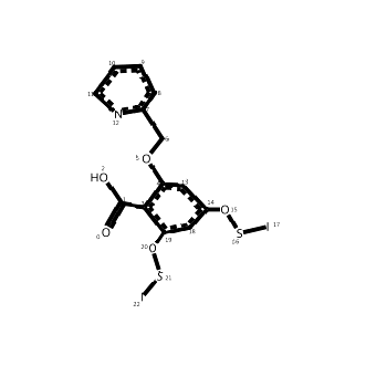 O=C(O)c1c(OCc2ccccn2)cc(OSI)cc1OSI